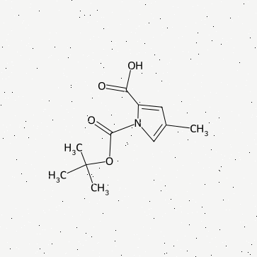 Cc1cc(C(=O)O)n(C(=O)OC(C)(C)C)c1